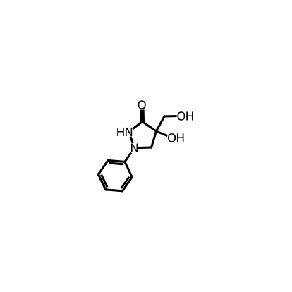 O=C1NN(c2ccccc2)CC1(O)CO